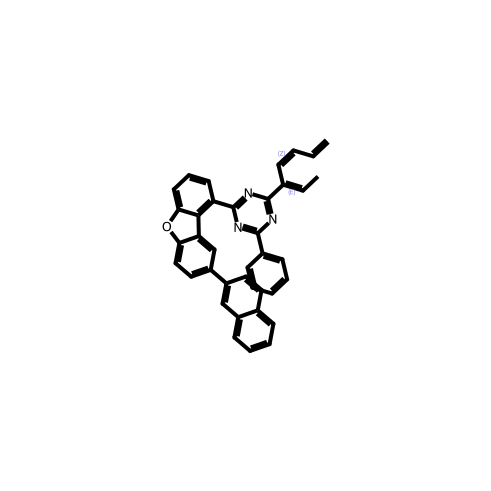 C=C/C=C\C(=C/C)c1nc(-c2ccccc2)nc(-c2cccc3oc4ccc(-c5ccc6ccccc6c5)cc4c23)n1